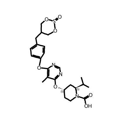 Cc1c(Oc2ccc(CC3COS(=O)OC3)cc2)ncnc1O[C@H]1CCN(C(=O)O)[C@H](C(C)C)C1